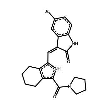 O=C1Nc2ccc(Br)cc2/C1=C/c1[nH]c(C(=O)N2CCCC2)c2c1CCCC2